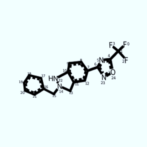 FC(F)(F)c1nc(-c2ccc3c(c2)CN(Cc2ccccc2)N3)no1